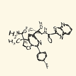 C[C@]1(C(N)=O)COc2c1cc([C@@](O)(CNC(=O)c1nc3cccnc3s1)C(F)(F)F)nc2-c1ccc(F)cc1